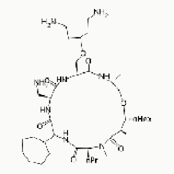 CCCCCC[C@H]1OC[C@@H](C)NC(=O)[C@H](COC(CCN)CCN)NC(=O)[C@H](CN)NC(=O)C(C2CCCCCC2)NC(=O)[C@H](CCC)N(C)C(=O)[C@@H]1C